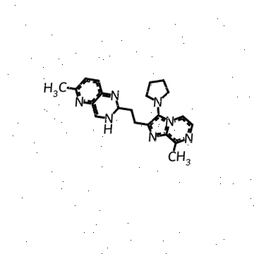 Cc1ccc2c(n1)=CNC(CCc1nc3c(C)nccn3c1N1CCCC1)N=2